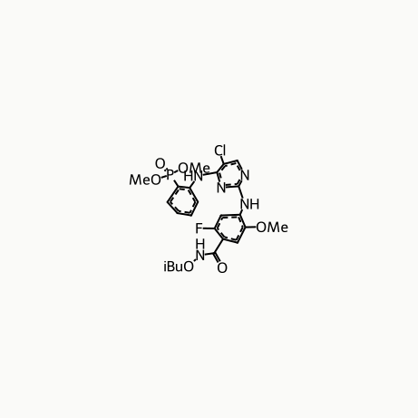 COc1cc(C(=O)NOCC(C)C)c(F)cc1Nc1ncc(Cl)c(Nc2ccccc2P(=O)(OC)OC)n1